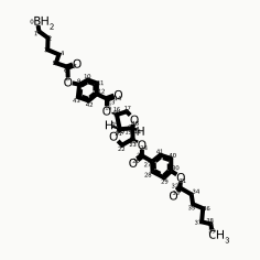 BCCCCCC(=O)Oc1ccc(C(=O)O[C@@H]2CO[C@H]3[C@@H]2OC[C@@H]3OC(=O)c2ccc(OC(=O)CCCCCC)cc2)cc1